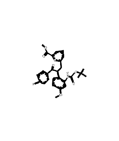 COC(=O)c1cccc(CC(C(=O)c2ccc(F)cc2)c2ccc(OC)cc2NC(=O)OC(C)(C)C)n1